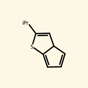 CC(C)C1=CC2C=CC=C2S1